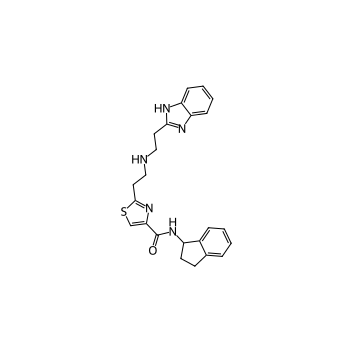 O=C(NC1CCc2ccccc21)c1csc(CCNCCc2nc3ccccc3[nH]2)n1